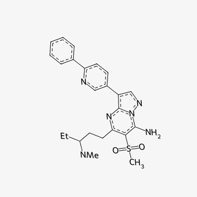 CCC(CCc1nc2c(-c3ccc(-c4ccccc4)nc3)cnn2c(N)c1S(C)(=O)=O)NC